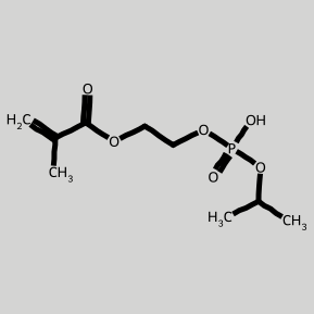 C=C(C)C(=O)OCCOP(=O)(O)OC(C)C